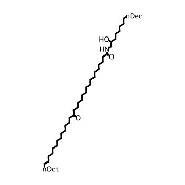 CCCCCCCCC=CCCCCCCCCCCCC(=O)CCCCCCCCCCCCCCCC(=O)NCC(O)CCCCCCCCCCCCCCCC